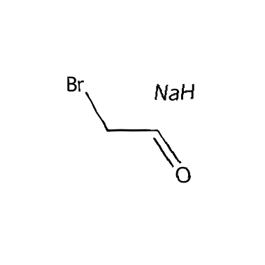 O=CCBr.[NaH]